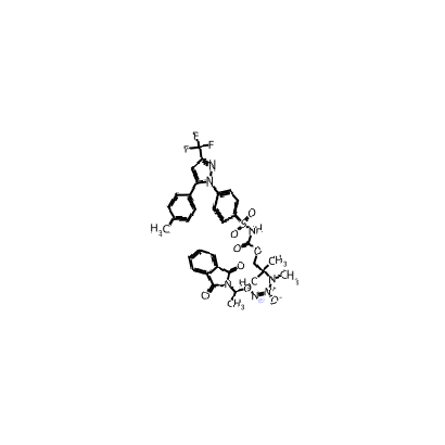 Cc1ccc(-c2cc(C(F)(F)F)nn2-c2ccc(S(=O)(=O)NC(=O)OCC(C)(C)N(C)/[N+]([O-])=N\OC(C)N3C(=O)c4ccccc4C3=O)cc2)cc1